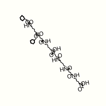 CC(=O)N(O)CCCCCNC(=O)CCC(=O)NCCCCCNC(=O)CCC(=O)N(O)CCCCCNC(=O)CCC(=O)N(CCCCCNC(=O)OCc1ccccc1)OCc1ccccc1